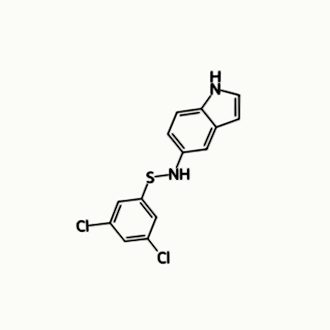 Clc1cc(Cl)cc(SNc2ccc3[nH]ccc3c2)c1